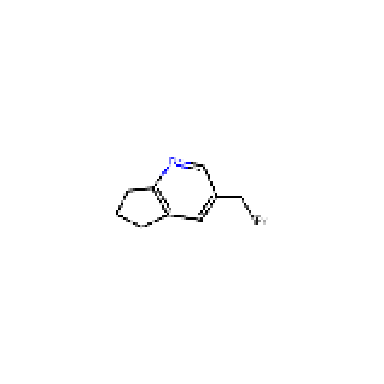 CC(C)Cc1cnc2c(c1)CCC2